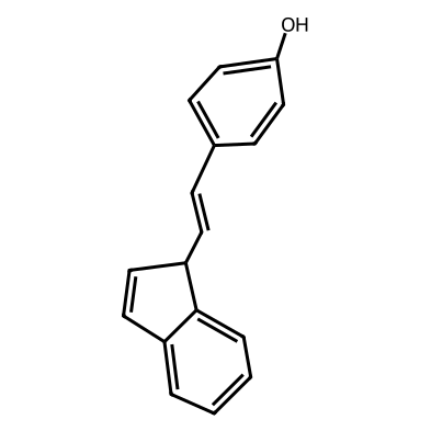 Oc1ccc(C=CC2C=Cc3ccccc32)cc1